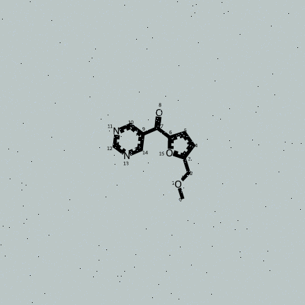 COCc1ccc(C(=O)c2cncnc2)o1